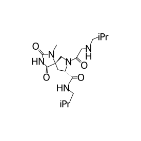 CC(C)CNCC(=O)N1C[C@@]2(C[C@H]1C(=O)NCC(C)C)C(=O)NC(=O)N2C